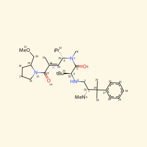 CN[C@H](CN[C@H](C(=O)N(C)[C@H](/C=C(\C)C(=O)N1CCCC1COC)C(C)C)C(C)(C)C)C(C)(C)c1ccccc1